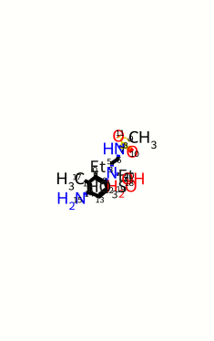 CCc1c(N(CC)CCNS(C)(=O)=O)ccc(N)c1C.O.O=S(=O)(O)O